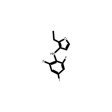 CCc1occc1Nc1c(F)cc(I)cc1F